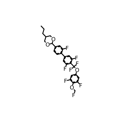 CCCC1COC(c2ccc(-c3cc(F)c(C(F)(F)Oc4cc(F)c(OCF)c(F)c4)c(F)c3)c(F)c2)OC1